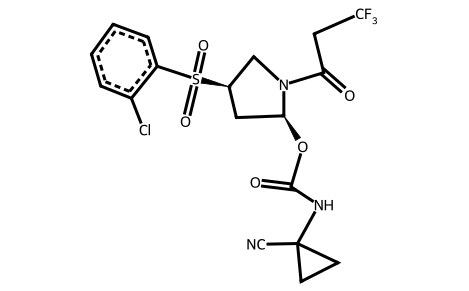 N#CC1(NC(=O)O[C@H]2C[C@@H](S(=O)(=O)c3ccccc3Cl)CN2C(=O)CC(F)(F)F)CC1